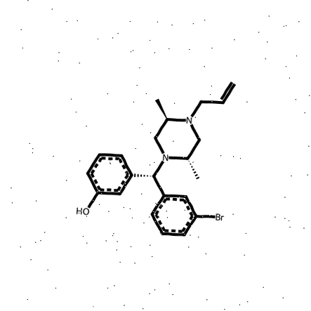 C=CCN1C[C@H](C)N([C@@H](c2cccc(O)c2)c2cccc(Br)c2)C[C@H]1C